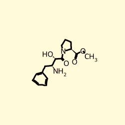 COC(=O)[C@@H]1CCCN1C(=O)[C@@H](O)[C@H](N)Cc1ccccc1